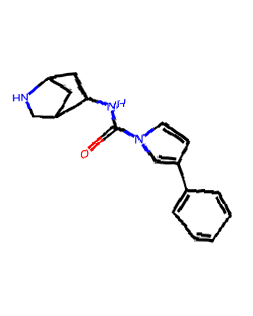 O=C(NC1CC2CC1CN2)n1ccc(-c2ccccc2)c1